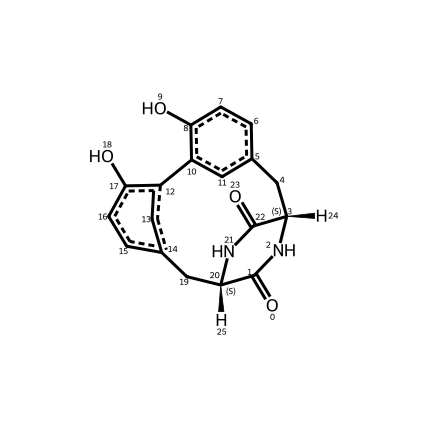 O=C1N[C@H]2Cc3ccc(O)c(c3)-c3cc(ccc3O)C[C@@H]1NC2=O